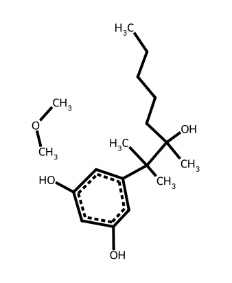 CCCCCC(C)(O)C(C)(C)c1cc(O)cc(O)c1.COC